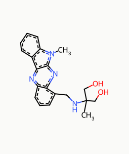 Cn1c2ccccc2c2nc3cccc(CNC(C)(CO)CO)c3nc21